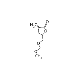 C=C1CC(COCOC)OC1=O